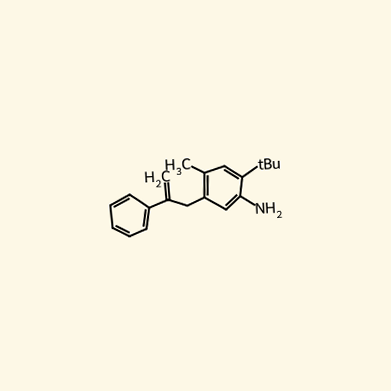 C=C(Cc1cc(N)c(C(C)(C)C)cc1C)c1ccccc1